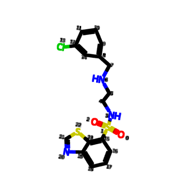 O=S(=O)(NCCNCc1cccc(Cl)c1)c1cccc2ncsc12